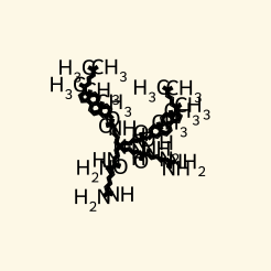 CC(C)CCCC(C)C1CCC2C3CC=C4CC(OC(=O)NCCC[N+](CCCNC(=O)OC5CCC6(C)C(=CCC7C6CCC6(C)C(C(C)CCCC(C)C)CCC76)C5)(CCCNC(=O)C(N)CCCNC(=N)N)CCNC(=O)C(N)CCCCC(=N)N)CCC4(C)C3CCC12C